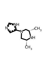 C[C@@H]1CN(c2cnc[nH]2)C[C@H](C)N1